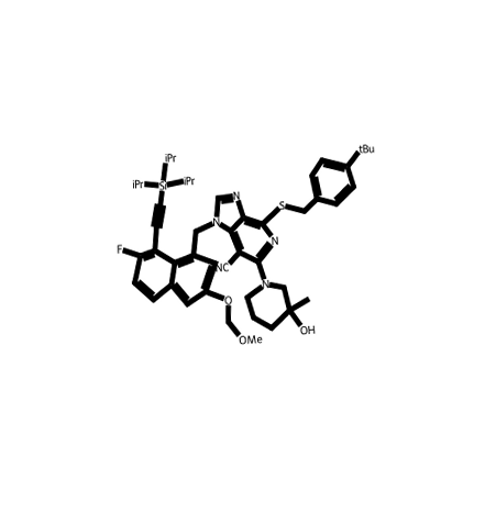 COCOc1cc(Cn2cnc3c(SCc4ccc(C(C)(C)C)cc4)nc(N4CCCC(C)(O)C4)c(C#N)c32)c2c(C#C[Si](C(C)C)(C(C)C)C(C)C)c(F)ccc2c1